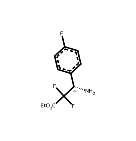 CCOC(=O)C(F)(F)[C@@H](N)c1ccc(F)cc1